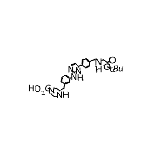 CC(C)(C)OC(=O)CNCc1ccc(-c2ccnc(Nc3cccc(CC4CN(C(=O)O)CCN4)c3)n2)cc1